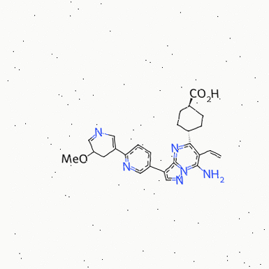 C=Cc1c(N)n2ncc(-c3ccc(C4=CN=CC(OC)C4)nc3)c2nc1[C@H]1CC[C@H](C(=O)O)CC1